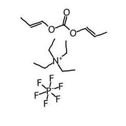 CC=COC(=O)OC=CC.CC[N+](CC)(CC)CC.F[P-](F)(F)(F)(F)F